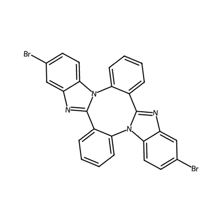 Brc1ccc2c(c1)nc1c3ccccc3n3c4ccc(Br)cc4nc3c3ccccc3n21